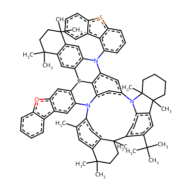 Cc1cc2c3cc1N1c4cc5c(cc4B4c6cc7c(cc6N(c6cccc8sc9ccccc9c68)c6cc(cc1c64)N1c4cc(c(C(C)(C)C)cc4C4(C)CCCCC14C)C3(C)CCC2(C)C)C(C)(C)CCC7(C)C)oc1ccccc15